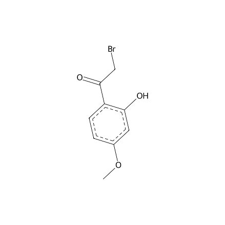 COc1ccc(C(=O)CBr)c(O)c1